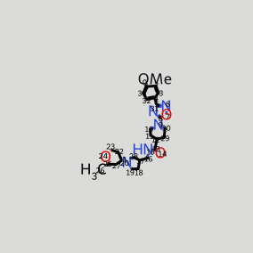 COc1ccc(-c2noc(N3CCC(C(=O)NCC4CCN(C5CCOC(C)C5)C4)CC3)n2)cc1